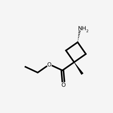 CCOC(=O)[C@]1(C)C[C@H](N)C1